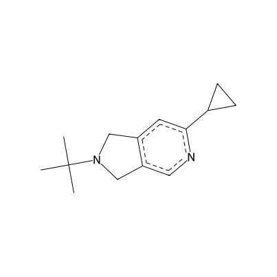 CC(C)(C)N1Cc2cnc(C3CC3)cc2C1